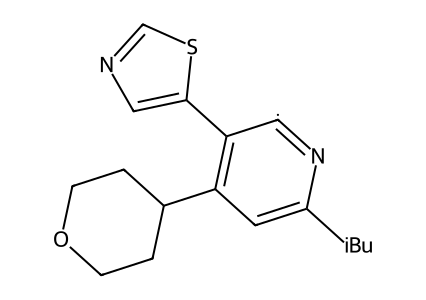 CCC(C)c1cc(C2CCOCC2)c(-c2cncs2)[c]n1